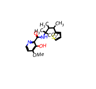 COc1ccnc(C(=O)NC(C)(C(=O)O)C(C)C(C)c2cccs2)c1O